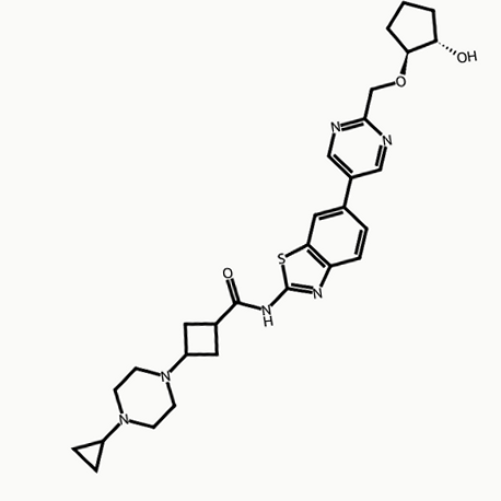 O=C(Nc1nc2ccc(-c3cnc(CO[C@H]4CCC[C@@H]4O)nc3)cc2s1)C1CC(N2CCN(C3CC3)CC2)C1